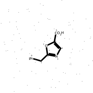 CC(C)Cc1ncc(C(=O)O)o1